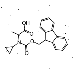 CC(C(=O)O)N(C(=O)OCC1c2ccccc2-c2ccccc21)C1CC1